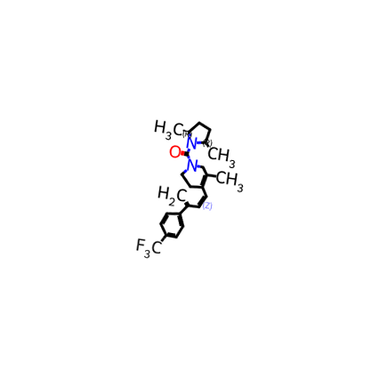 C=C(/C=C\C1=C(C)CN(C(=O)N2[C@H](C)CC[C@H]2C)CC1)c1ccc(C(F)(F)F)cc1